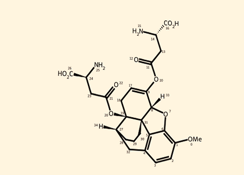 COc1ccc2c3c1O[C@H]1C(OC(=O)C[C@H](N)C(=O)O)=CC[C@@]4(OC(=O)C[C@H](N)C(=O)O)[C@H](CCC[C@]314)C2